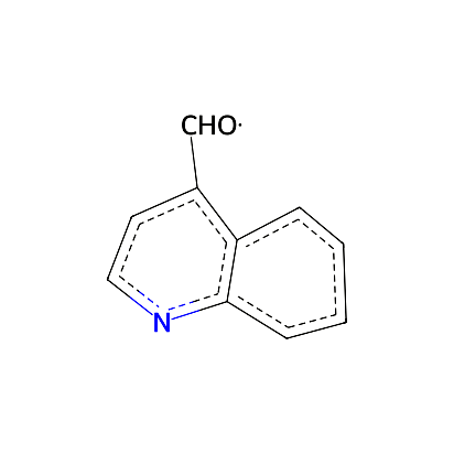 O=[C]c1ccnc2ccccc12